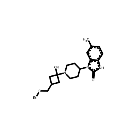 CCOCC1CC(C#N)(N2CCC(n3c(=O)[nH]c4ccc(C)cc43)CC2)C1